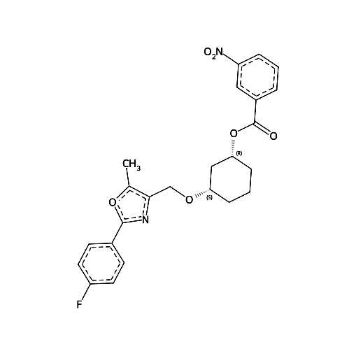 Cc1oc(-c2ccc(F)cc2)nc1CO[C@H]1CCC[C@@H](OC(=O)c2cccc([N+](=O)[O-])c2)C1